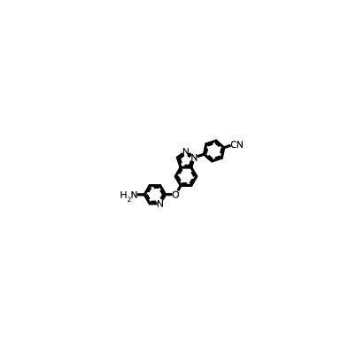 N#Cc1ccc(-n2ncc3cc(Oc4ccc(N)cn4)ccc32)cc1